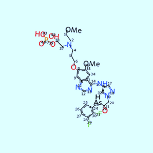 COCCN(CCCOc1cc2ncnc(Nc3cnn(CC(=O)[AsH]c4cccc(F)c4F)c3)c2cc1OC)CCOP(=O)(O)O